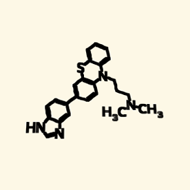 CN(C)CCCN1c2ccccc2Sc2cc(-c3ccc4[nH]cnc4c3)ccc21